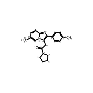 Cc1ccc(-c2nc3ccc(C)cn3c2CC(=O)C2CCCC2)cc1